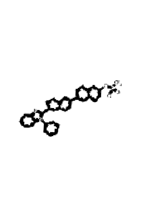 O=S(=O)(Oc1ccc2cc(-c3ccc4cc(-c5nc6ccccc6n5-c5ccccc5)ccc4c3)ccc2c1)C(F)(F)F